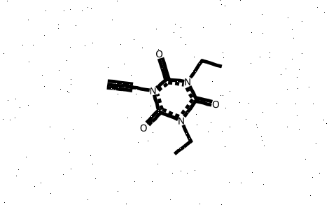 C#Cn1c(=O)n(CC)c(=O)n(CC)c1=O